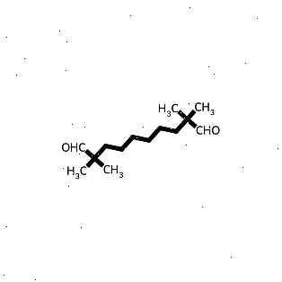 CC(C)(C=O)CCCCCCC(C)(C)C=O